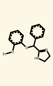 CCOc1ccccc1OC(C1=NCCN1)c1ccccc1